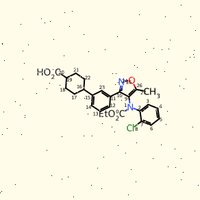 CCOC(=O)N(c1ccccc1Cl)c1c(-c2cccc(C3CCC(C(=O)O)CC3)c2)noc1C